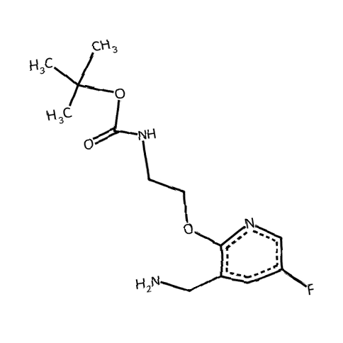 CC(C)(C)OC(=O)NCCOc1ncc(F)cc1CN